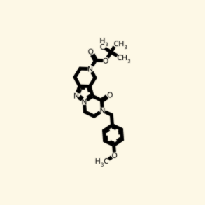 COc1ccc(CN2CCn3nc4c(c3C2=O)CN(C(=O)OC(C)(C)C)CC4)cc1